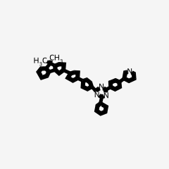 CC1(C)c2ccccc2-c2cc(-c3ccc(-c4ccc(-c5nc(-c6ccccc6)nc(-c6ccc(-c7cccnc7)cc6)n5)cc4)cc3)ccc21